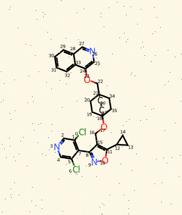 Clc1cncc(Cl)c1-c1noc(C2CC2)c1COC12CCC(COc3cncc4ccccc34)(CC1)CC2